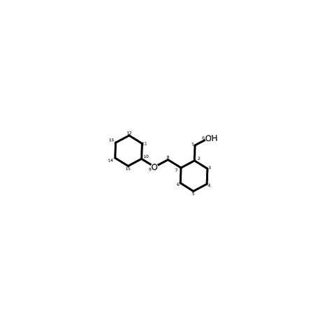 OCC1CCCCC1COC1CCCCC1